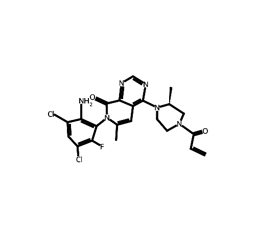 C=CC(=O)N1CCN(c2ncnc3c(=O)n(-c4c(N)c(Cl)cc(Cl)c4F)c(C)cc23)[C@@H](C)C1